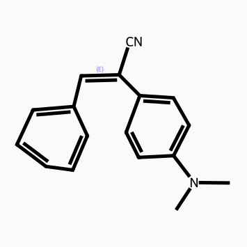 CN(C)c1ccc(/C(C#N)=C\c2ccccc2)cc1